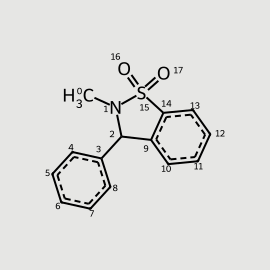 CN1C(c2ccccc2)c2ccccc2S1(=O)=O